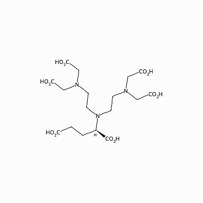 O=C(O)CC[C@H](C(=O)O)N(CCN(CC(=O)O)CC(=O)O)CCN(CC(=O)O)CC(=O)O